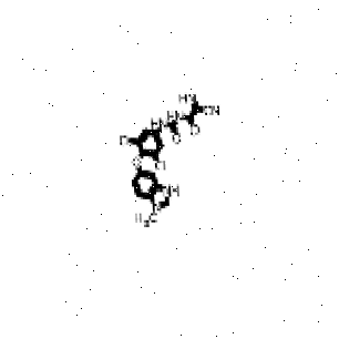 CN1CNc2cc(Oc3c(Cl)cc(NC(=O)NC(=O)C(=N)C#N)cc3Cl)ccc21